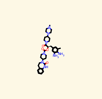 Cc1cc(C[C@@H](OC(=O)N2CCC(N3CCc4ccccc4NC3=O)CC2)C(=O)N2CCC(N3CCN(C)CC3)CC2)cc(N)c1N